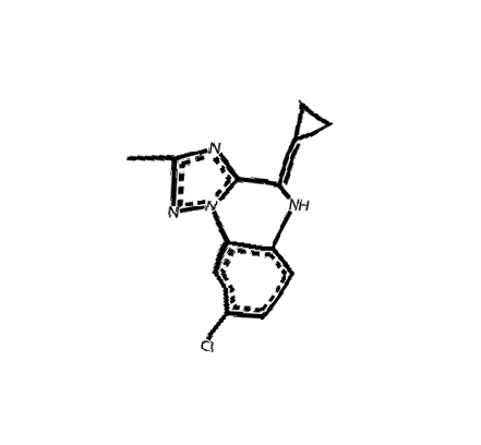 Cc1nc2n(n1)-c1cc(Cl)ccc1NC2=C1CC1